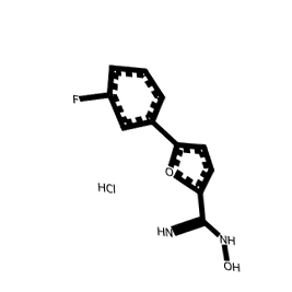 Cl.N=C(NO)c1ccc(-c2cccc(F)c2)o1